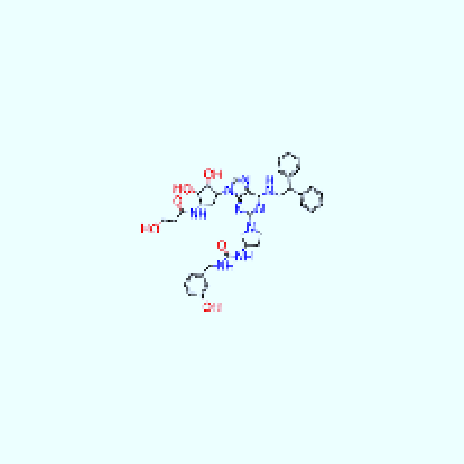 O=C(CCO)N[C@H]1CC(n2cnc3c(NCC(c4ccccc4)c4ccccc4)nc(N4CC[C@@H](NC(=O)NCc5cccc(O)c5)C4)nc32)C(O)[C@@H]1O